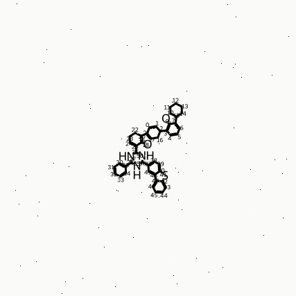 C1=CC(c2cccc3c2OC2CCCCC32)Cc2oc3c(c21)CCC=C3C1NC(c2ccccc2)NC(c2ccc3sc4ccccc4c3c2)N1